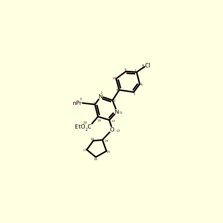 CCCc1nc(-c2ccc(Cl)cc2)nc(OC2CCCC2)c1C(=O)OCC